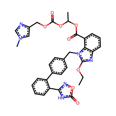 CCOc1nc2cccc(C(=O)OC(C)OC(=O)OCc3cn(C)cn3)c2n1Cc1ccc(-c2ccccc2-c2noc(=O)[nH]2)cc1